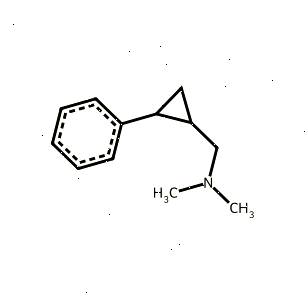 CN(C)CC1CC1c1ccccc1